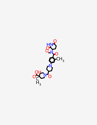 Cc1cc(N2CCC(C(=O)N3CCC(C)(C(=O)O)CC3)CC2)ccc1C(=O)N(C=O)C1CCC(=O)NC1=O